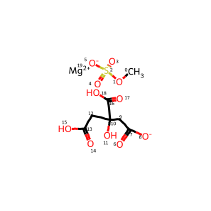 COS(=O)(=O)[O-].O=C([O-])CC(O)(CC(=O)O)C(=O)O.[Mg+2]